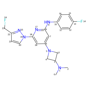 CN(C)C1CN(c2cc(Nc3ccc(F)cc3)nc(-n3ccc(CF)n3)c2)C1